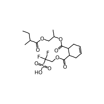 CCC(C)C(=O)OCC(C)OC(=O)C1CC=CCC1C(=O)OCC(F)(F)S(=O)(=O)O